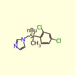 CCCC[Si](C)(Cn1ccnc1)c1ccc(Cl)cc1Cl